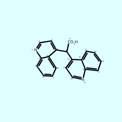 O=C(O)C(c1ccnc2ccccc12)c1ccnc2ccccc12